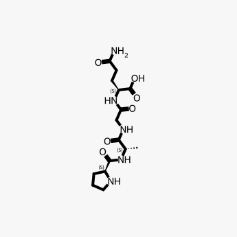 C[C@H](NC(=O)[C@@H]1CCCN1)C(=O)NCC(=O)N[C@@H](CCC(N)=O)C(=O)O